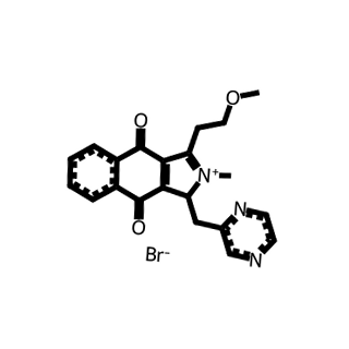 COCCC1=[N+](C)C(Cc2cnccn2)C2=C1C(=O)c1ccccc1C2=O.[Br-]